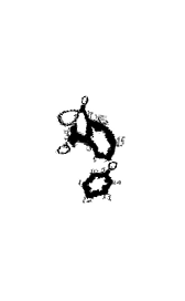 O=C1OC(=O)c2cc(Oc3cc[c]cc3)ccc21